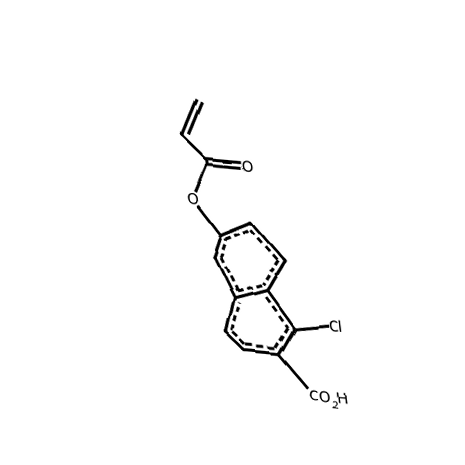 C=CC(=O)Oc1ccc2c(Cl)c(C(=O)O)ccc2c1